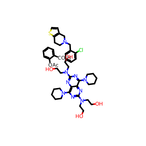 CC(=O)Oc1ccccc1C(=O)O.Clc1ccccc1CN1CCc2sccc2C1.OCCN(CCO)c1nc(N2CCCCC2)c2nc(N(CCO)CCO)nc(N3CCCCC3)c2n1